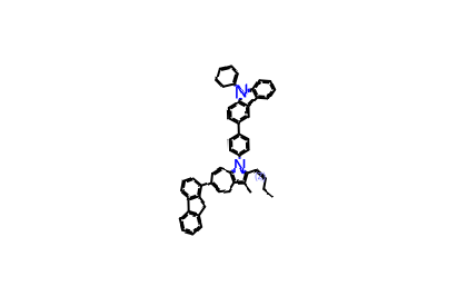 CC/C=C\c1c(C)c2c(n1-c1ccc(-c3ccc4c(c3)c3ccccc3n4C3=CC=CCC3)cc1)C=CC(c1cccc3c1Cc1ccccc1-3)=CC2